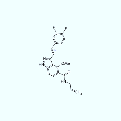 C=CCNC(=O)c1ccc2[nH]nc(/C=C/c3ccc(F)c(F)c3)c2c1OC